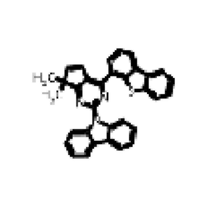 CC1(C)C=Cc2c(-c3cccc4c3sc3ccccc34)nc(-n3c4ccccc4c4ccccc43)nc21